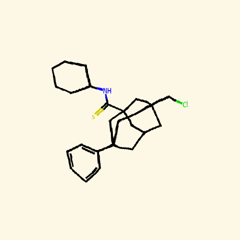 S=C(NC1CCCCC1)C12CC3CC(CCl)(C1)CC(c1ccccc1)(C3)C2